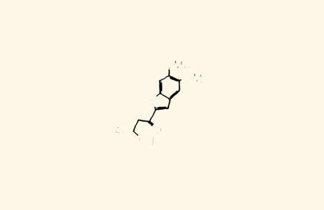 COc1cc2cc(C(=O)C[C@H](C)C(C)=O)sc2cc1SC